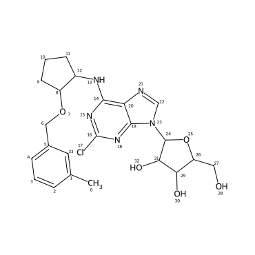 Cc1cccc(COC2CCCC2Nc2nc(Cl)nc3c2ncn3C2OC(CO)C(O)C2O)c1